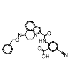 N#Cc1ccc(NC(=O)c2cc3cccc4c3n2CCC4=NOCc2ccccc2)c(C(=O)O)c1